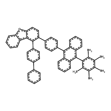 Bc1c(B)c(B)c(-c2c3ccccc3c(-c3ccc(-c4ccc5oc6ccccc6c5c4-c4ccc(-c5ccccc5)cc4)cc3)c3ccccc23)c(B)c1B